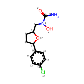 NC(=O)N(O)CC1CCC(c2ccc(Cl)cc2)O1